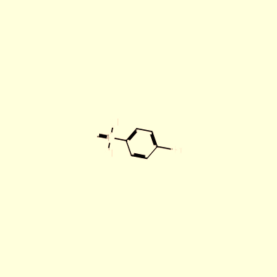 CC(C)c1ccc(P(=S)(Cl)Cl)cc1